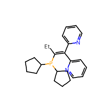 CCC(=C(c1ccccn1)c1ccccn1)P(C1CCCC1)C1CCCC1